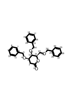 O=C1C[C@@H](OCc2ccccc2)[C@@H](OCc2ccccc2)[C@@H](COCc2ccccc2)O1